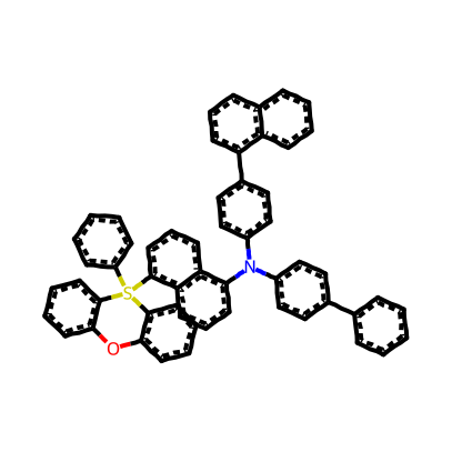 c1ccc(-c2ccc(N(c3ccc(-c4cccc5ccccc45)cc3)c3cccc4c(S5(c6ccccc6)c6ccccc6Oc6ccccc65)cccc34)cc2)cc1